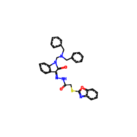 O=C(CSc1nc2ccccc2o1)NN=C1C(=O)N(CN(Cc2ccccc2)Cc2ccccc2)c2ccccc21